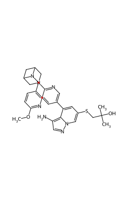 COc1ccc(CN2C3CC2CN(c2ccc(-c4cc(SCC(C)(C)O)cn5ncc(N)c45)cn2)C3)cn1